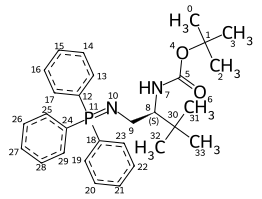 CC(C)(C)OC(=O)N[C@H](CN=P(c1ccccc1)(c1ccccc1)c1ccccc1)C(C)(C)C